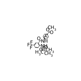 COC(=O)C12CCC(NC(=O)c3cc(C(F)(F)F)ccc3NS(=O)(=O)C(C)(C)C)(CC1)CC2